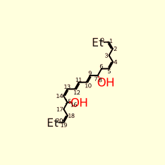 CC/C=C\C/C=C\CC(O)/C=C/C=C/C=C\C(O)C/C=C\CC